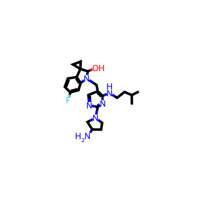 CC(C)CCNc1nc(N2CCC(N)C2)ncc1CN1c2cc(F)ccc2C2(CC2)C1O